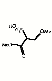 COCC(N)C(=O)OC.Cl